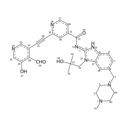 CN1CCN(Cc2ccc3[nH]/c(=N\C(=O)c4ccnc(C#Cc5cncc(O)c5C=O)c4)n(CC(C)(C)O)c3c2)CC1